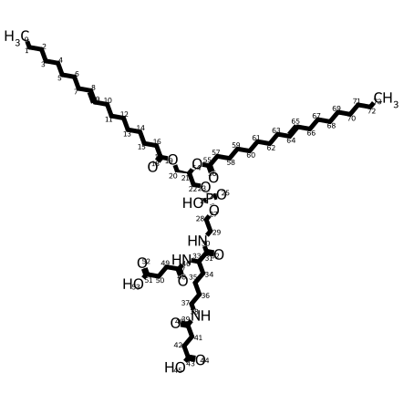 CCCCCCCC/C=C/CCCCCCCC(=O)OC[C@H](COP(=O)(O)OCCNC(=O)C(CCCCNC(=O)CCC(=O)O)NC(=O)CCC(=O)O)OC(=O)CCCCCCC/C=C/CCCCCCCC